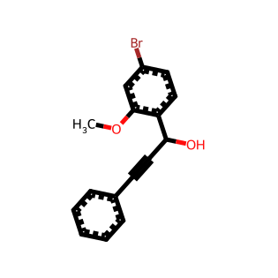 COc1cc(Br)ccc1C(O)C#Cc1ccccc1